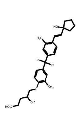 CCC(CC)(c1ccc(C=CC2(O)CCCC2)c(C)c1)c1ccc(OCC(O)CCC(=O)O)c(C)c1